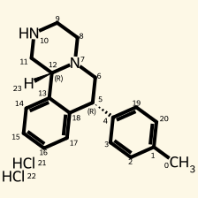 Cc1ccc([C@H]2CN3CCNC[C@H]3c3ccccc32)cc1.Cl.Cl